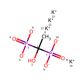 CC(O)(P(=O)([O-])[O-])P(=O)([O-])[O-].[K+].[K+].[K+].[K+]